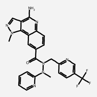 CN(c1ccccn1)N(Cc1ccc(C(F)(F)F)cn1)C(=O)c1ccc2nc(N)c3cnn(C)c3c2c1